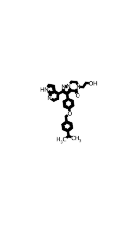 CC(C)c1ccc(COc2ccc(-c3c(-c4ccnc5[nH]ccc45)nn4c3C(=O)N(CCO)CC4)cc2)cc1